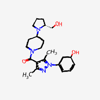 Cc1nn(C2=CC=CC(O)C2)c(C)c1C(=O)N1CCC(N2CCC[C@@H]2CO)CC1